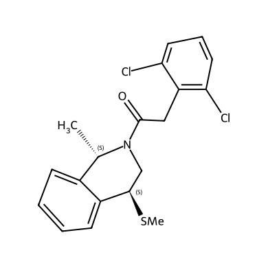 CS[C@@H]1CN(C(=O)Cc2c(Cl)cccc2Cl)[C@@H](C)c2ccccc21